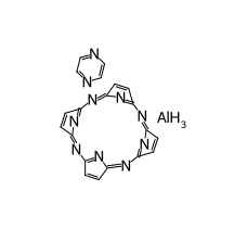 C1=C/C2=N/C3=NC(=N\C4=NC(=N\C5=NC(=N\C1=N2)/C=C5)/C=C4)/C=C3.[AlH3].c1cnccn1